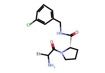 CCC(N)C(=O)N1CCC[C@H]1C(=O)NCc1cccc(Cl)c1